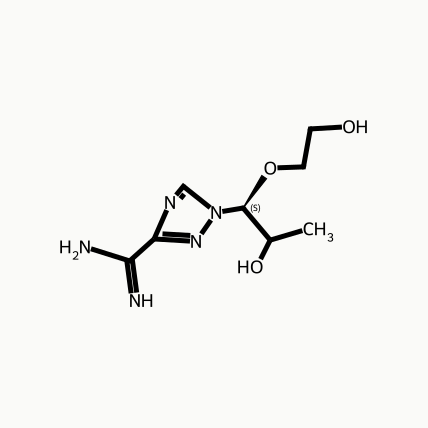 CC(O)[C@H](OCCO)n1cnc(C(=N)N)n1